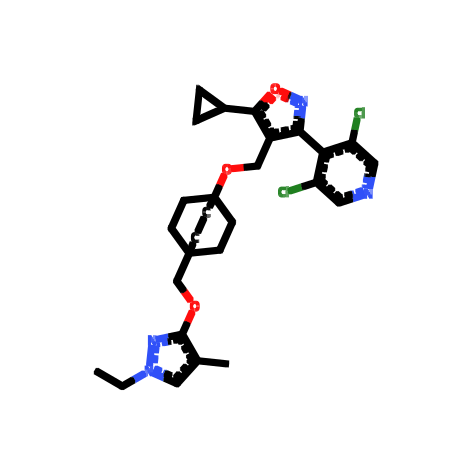 CCn1cc(C)c(OCC23CCC(OCc4c(-c5c(Cl)cncc5Cl)noc4C4CC4)(CC2)CC3)n1